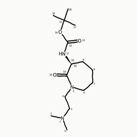 CN(C)CCN1CCCC[C@H](NC(=O)OC(C)(C)C)C1=O